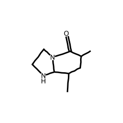 CC1CC(C)C2NCCN2C1=O